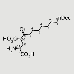 CCCCCCCCCCCCCCCCCC(=O)C(CC(N)C(=O)O)C(=O)O